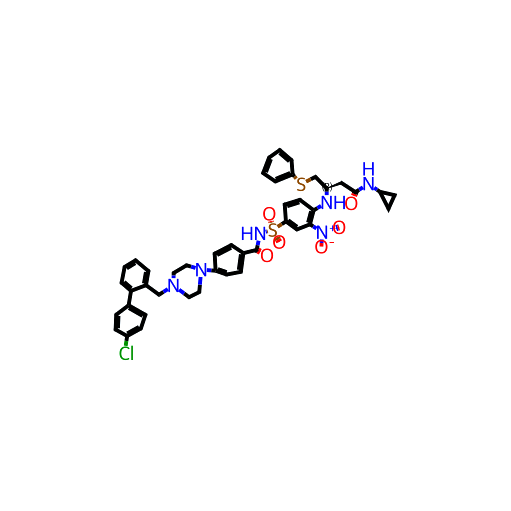 O=C(C[C@H](CSc1ccccc1)Nc1ccc(S(=O)(=O)NC(=O)c2ccc(N3CCN(Cc4ccccc4-c4ccc(Cl)cc4)CC3)cc2)cc1[N+](=O)[O-])NC1CC1